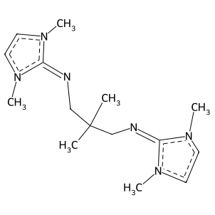 Cn1ccn(C)c1=NCC(C)(C)CN=c1n(C)ccn1C